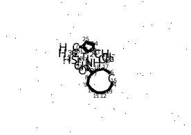 CC1=[C]([Ti+2]([NH]C(=O)C2CCCCCCCCCCC2)[SiH](C)C)C(C)C=C1.[Cl-].[Cl-]